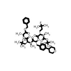 C[C@@H](OC(=O)[C@H](CC(C)(C)C)N(C)C(=O)[C@@H](Cc1ccc(C2CCOCC2)cc1)OC(=O)[C@H](CCC(C)(C)F)N(C)C(=O)OC(C)(C)C)C(=O)OCc1ccccc1